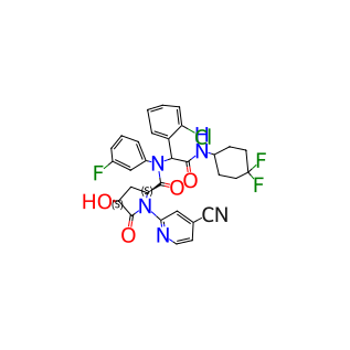 N#Cc1ccnc(N2C(=O)[C@@H](O)C[C@H]2C(=O)N(c2cccc(F)c2)C(C(=O)NC2CCC(F)(F)CC2)c2ccccc2Cl)c1